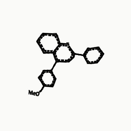 COc1ccc(-c2cc(-c3ccccc3)nc3ccccc23)cc1